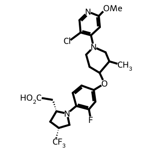 COc1cc(N2CCC(Oc3ccc(N4C[C@H](C(F)(F)F)C[C@@H]4CC(=O)O)c(F)c3)C(C)C2)c(Cl)cn1